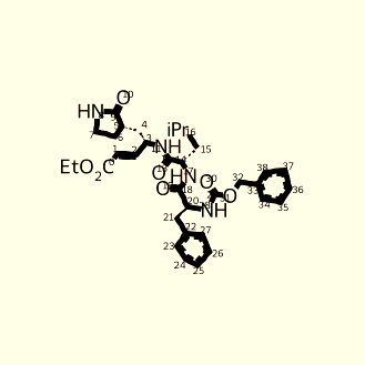 CCOC(=O)/C=C/[C@H](C[C@@H]1CCNC1=O)NC(=O)[C@H](CC(C)C)NC(=O)[C@H](Cc1ccccc1)NC(=O)OCc1ccccc1